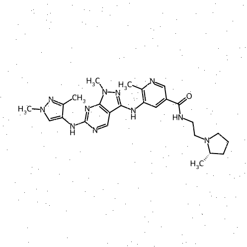 Cc1nn(C)cc1Nc1ncc2c(Nc3cc(C(=O)NCCN4CCC[C@@H]4C)cnc3C)nn(C)c2n1